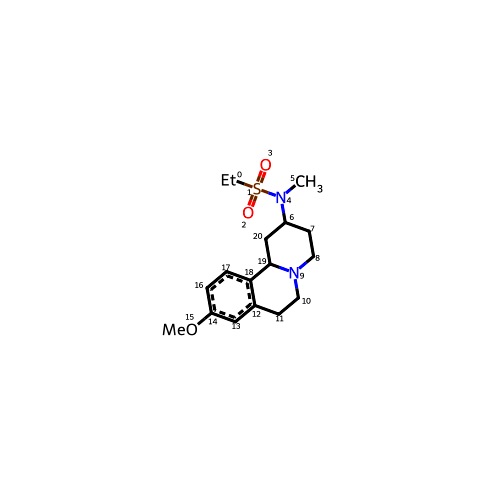 CCS(=O)(=O)N(C)C1CCN2CCc3cc(OC)ccc3C2C1